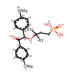 CCC(CC)(CCP(=O)(O)O)OC(C(=O)c1ccc(OC)cc1)c1ccc(OC)cc1